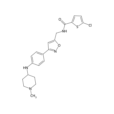 CN1CCC(Nc2ccc(-c3cc(CNC(=O)c4ccc(Cl)s4)on3)cc2)CC1